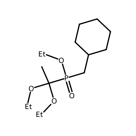 CCOC(C)(OCC)P(=O)(CC1CCCCC1)OCC